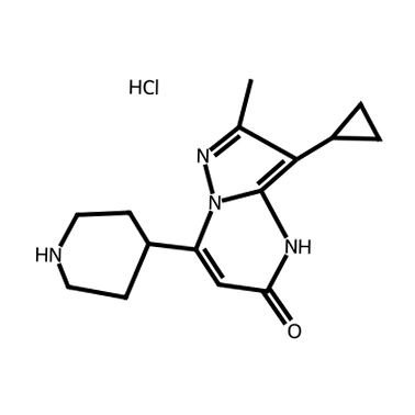 Cc1nn2c(C3CCNCC3)cc(=O)[nH]c2c1C1CC1.Cl